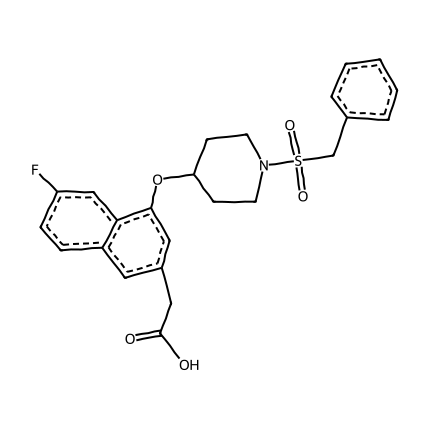 O=C(O)Cc1cc(OC2CCN(S(=O)(=O)Cc3ccccc3)CC2)c2cc(F)ccc2c1